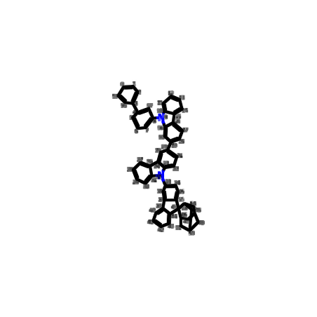 c1ccc(-c2cccc(-n3c4ccccc4c4ccc(-c5ccc6c(c5)c5ccccc5n6-c5ccc6c(c5)-c5ccccc5C65C6CC7CC(C6)CC5C7)cc43)c2)cc1